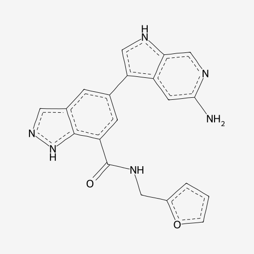 Nc1cc2c(-c3cc(C(=O)NCc4ccco4)c4[nH]ncc4c3)c[nH]c2cn1